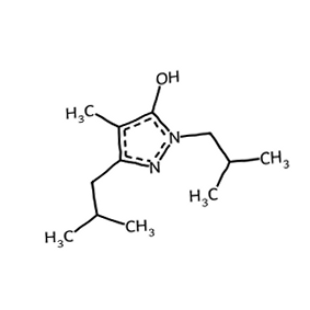 Cc1c(CC(C)C)nn(CC(C)C)c1O